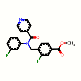 COC(=O)c1ccc(CN(C(=O)c2ccncc2)c2cccc(F)c2)c(F)c1